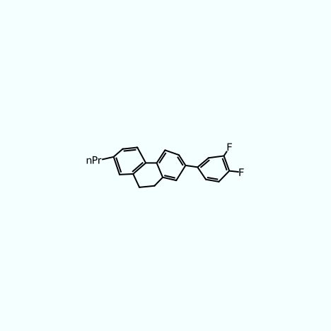 CCCc1ccc2c(c1)CCc1cc(-c3ccc(F)c(F)c3)ccc1-2